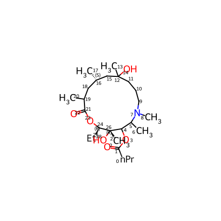 CCCC(=O)OC1C(C)N(C)CCCC(C)(O)C[C@@H](C)CC(C)C(=O)O[C@H](CC)[C@@]1(C)O